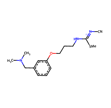 CS/C(=N\C#N)NCCCOc1cccc(CN(C)C)c1